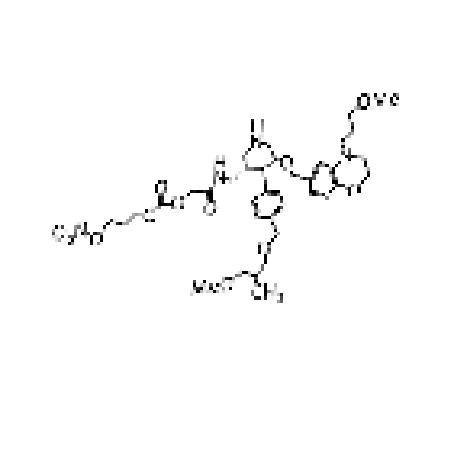 COCCCN1CCOc2ccc(CO[C@H]3CNC[C@@H](CNC(=O)COC(=O)OCCCO[N+](=O)[O-])[C@@H]3c3ccc(COC[C@@H](C)COC)cc3)cc21